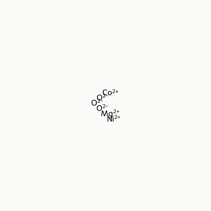 [Co+2].[Mg+2].[Ni+2].[O-2].[O-2].[O-2]